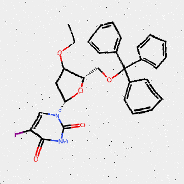 CCOC1C[C@@H](n2cc(I)c(=O)[nH]c2=O)O[C@H]1COC(c1ccccc1)(c1ccccc1)c1ccccc1